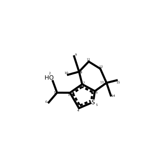 CC(O)c1csc2c1C(C)(C)CCC2(C)C